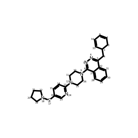 C1=CCC(Cc2nnc(N3CCN(c4ccc(SN5CCCC5)cn4)CC3)c3ccccc23)C=C1